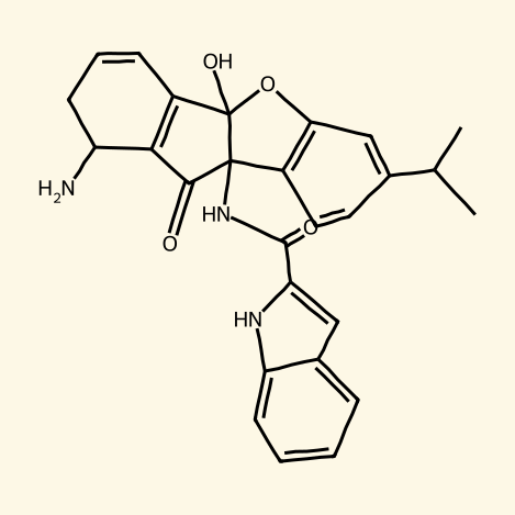 CC(C)c1ccc2c(c1)OC1(O)C3=C(C(=O)C21NC(=O)c1cc2ccccc2[nH]1)C(N)CC=C3